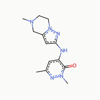 Cc1cc(Nc2cc3n(n2)CCN(C)C3)c(=O)n(C)n1